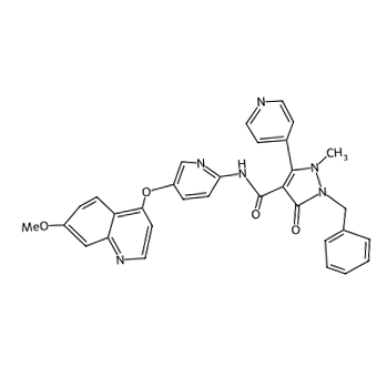 COc1ccc2c(Oc3ccc(NC(=O)c4c(-c5ccncc5)n(C)n(Cc5ccccc5)c4=O)nc3)ccnc2c1